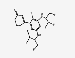 O=C1C=C(c2nc(NC(CF)C(F)F)nc(NC(CF)C(F)F)c2F)CCC1